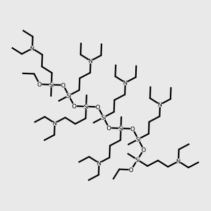 CCO[Si](C)(CCCN(CC)CC)O[Si](C)(CCCN(CC)CC)O[Si](C)(CCCN(CC)CC)O[Si](C)(CCCN(CC)CC)O[Si](C)(CCCN(CC)CC)O[Si](C)(CCCN(CC)CC)O[Si](C)(CCCN(CC)CC)OCC